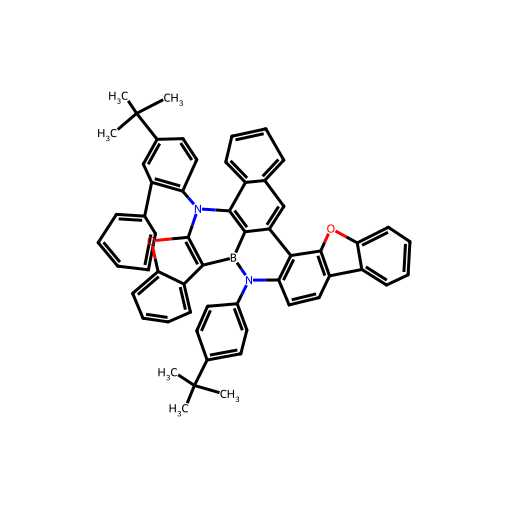 CC(C)(C)c1ccc(N2B3c4c(cc5ccccc5c4N(c4ccc(C(C)(C)C)cc4-c4ccccc4)c4oc5ccccc5c43)-c3c2ccc2c3oc3ccccc32)cc1